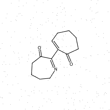 O=C1CCCCC=C1C1=NCCCCC1=O